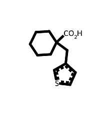 O=C(O)C1(Cc2ccsc2)CCCCC1